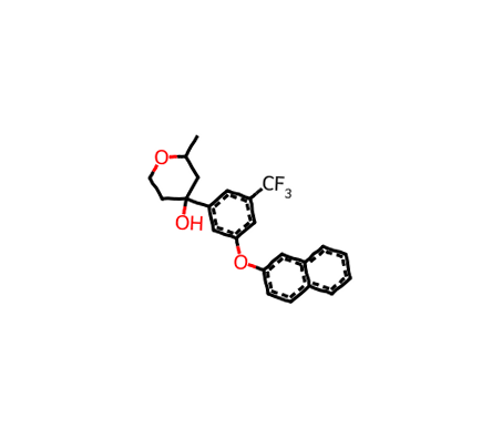 CC1CC(O)(c2cc(Oc3ccc4ccccc4c3)cc(C(F)(F)F)c2)CCO1